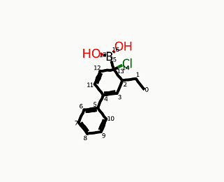 CCC1C=C(c2ccccc2)C=CC1(Cl)B(O)O